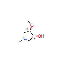 CO[C@@H]1CN(C)C[C@@H]1O